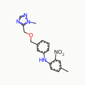 Cc1ccc(Nc2cccc(COCc3ncnn3C)c2)c([N+](=O)[O-])c1